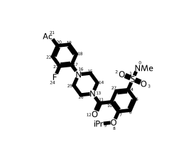 CNS(=O)(=O)c1ccc(OC(C)C)c(C(=O)N2CCN(c3ccc(C(C)=O)cc3F)CC2)c1